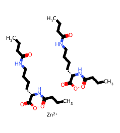 CCCC(=O)NCCCC[C@H](NC(=O)CCC)C(=O)[O-].CCCC(=O)NCCCC[C@H](NC(=O)CCC)C(=O)[O-].[Zn+2]